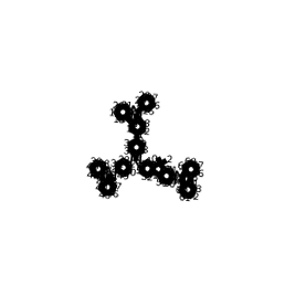 CC1(C)c2cc(N(c3ccc(-c4ccc5c(c4)c4ccccc4n5-c4ccccc4)cc3)c3ccc(-n4c5ccccc5c5ccccc54)cc3)ccc2-c2ccc(-n3c4ccccc4c4ccccc43)cc21